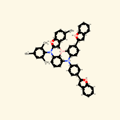 Cc1cc(C(C)(C)C)cc(C)c1N1c2cccc3c2B(c2cc(-c4cc5ccccc5o4)ccc2N3c2ccc(-c3cc4ccccc4o3)cc2)c2c1oc1ccc(C(C)(C)C)cc21